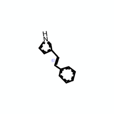 C(=C\c1cc[nH]c1)/c1ccccc1